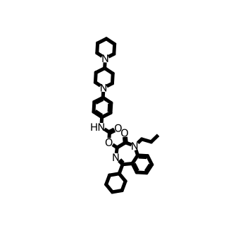 CCCN1C(=O)C(OC(=O)Nc2ccc(N3CCC(N4CCCCC4)CC3)cc2)N=C(C2CCCCC2)c2ccccc21